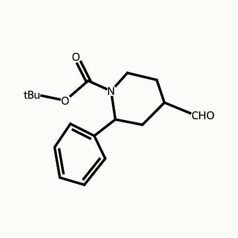 CC(C)(C)OC(=O)N1CCC(C=O)CC1c1ccccc1